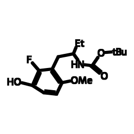 CCC(Cc1c(OC)ccc(O)c1F)NC(=O)OC(C)(C)C